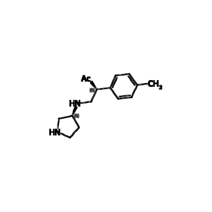 CC(=O)[C@H](CN[C@H]1CCNC1)c1ccc(C)cc1